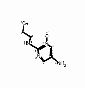 Nc1cnc(NCCO)[n+]([O-])c1